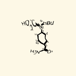 CCCCN(C(=O)O)C1CCC(C(N)=O)CC1